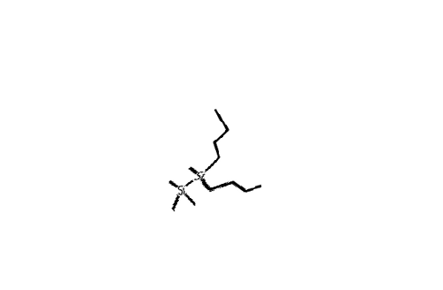 CCCC[Si](C)(CCCC)[Si](C)(C)C